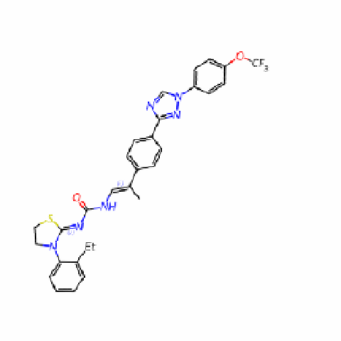 CCc1ccccc1N1CCS/C1=N\C(=O)N/C=C(\C)c1ccc(-c2ncn(-c3ccc(OC(F)(F)F)cc3)n2)cc1